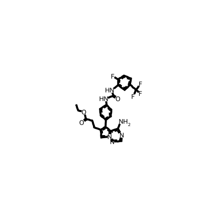 CCOC(=O)CCc1cn2ncnc(N)c2c1-c1ccc(NC(=O)Nc2cc(C(F)(F)F)ccc2F)cc1